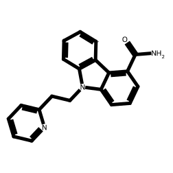 NC(=O)c1cccc2c1c1[c]cccc1n2CCc1ccccn1